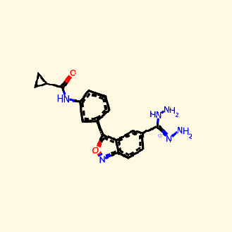 N/N=C(\NN)c1ccc2noc(-c3cccc(NC(=O)C4CC4)c3)c2c1